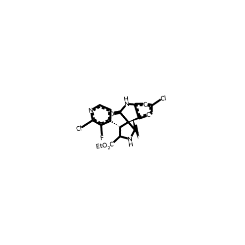 CCOC(=O)C1NC2(CCCC2)[C@@]2(C(=O)Nc3cc(Cl)ccc32)[C@H]1c1ccnc(Cl)c1F